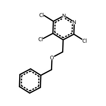 Clc1nnc(Cl)c(COCc2ccccc2)c1Cl